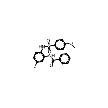 COc1ccc(S(=O)(=O)Nc2ccc(F)cc2NC(=O)c2ccccc2)cc1